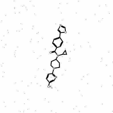 Cc1ccc(N2CCC(N(C(=O)c3ccc(-c4cnco4)cc3)C3CC3)CC2)nc1